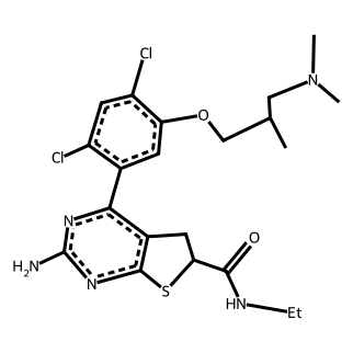 CCNC(=O)C1Cc2c(nc(N)nc2-c2cc(OCC(C)CN(C)C)c(Cl)cc2Cl)S1